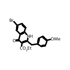 CCOC(=O)c1c(Cc2ccc(OC)cc2)[nH]c2ccc(Br)cc2c1=O